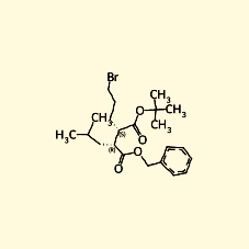 CC(C)C[C@@H](C(=O)OCc1ccccc1)[C@H](CCCBr)C(=O)OC(C)(C)C